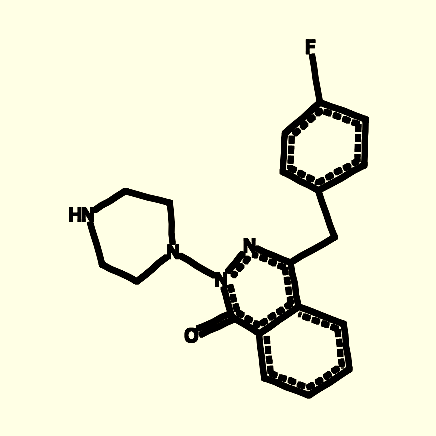 O=c1c2ccccc2c(Cc2ccc(F)cc2)nn1N1CCNCC1